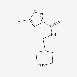 C=C(NCC1CCNCC1)c1cc(C(C)C)sn1